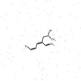 C=C/C(=C\C=C/CC)CN(C)C(C)C